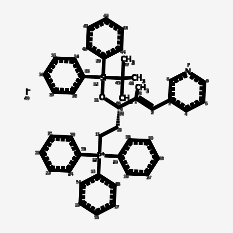 CC(=Cc1cccnc1)[C@H](CC[P+](c1ccccc1)(c1ccccc1)c1ccccc1)O[Si](c1ccccc1)(c1ccccc1)C(C)(C)C.[I-]